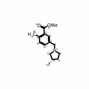 COC(=O)c1cc(CN2CC[C@H](I)C2)ccc1C